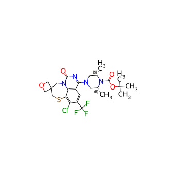 C[C@@H]1CN(c2nc(=O)n3c4c(c(Cl)c(C(F)(F)F)cc24)SCC2(COC2)C3)C[C@H](C)N1C(=O)OC(C)(C)C